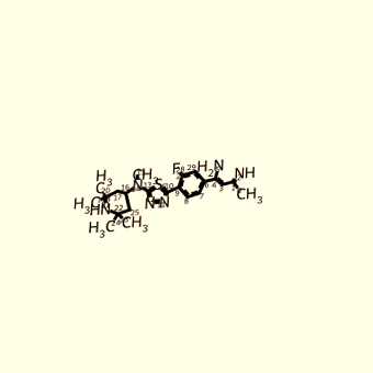 CC(=N)/C=C(\N)c1ccc(-c2nnc(N(C)C3CC(C)(C)NC(C)(C)C3)s2)c(F)c1